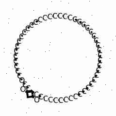 O=C1CC(=O)C12CCCCCCCCCCCCCCCCCCCCCCCCCCCCCCCCCCCCCCCCCCCCCCCCOCC2